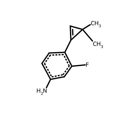 CC1(C)C=C1c1ccc(N)cc1F